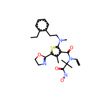 C=CN(C(=O)c1c(N(C)CCc2ccccc2CC)sc(C2=NCCO2)c1C)C(C)(C)C(=O)N=O